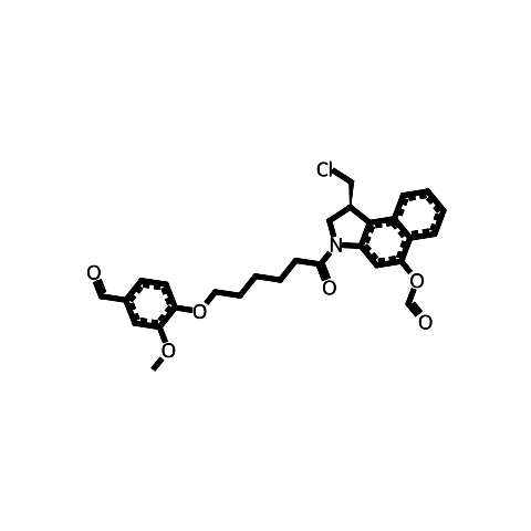 COc1cc(C=O)ccc1OCCCCCC(=O)N1C[C@@H](CCl)c2c1cc(OC=O)c1ccccc21